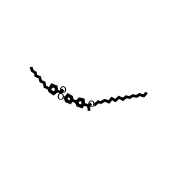 CCCCCCCCCCCCCCCCOC(C)c1ccc(-c2ccc(OC(=O)c3ccc(CCCCCCCC)cc3)cc2)cc1